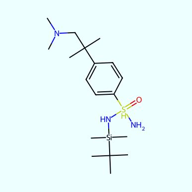 CN(C)CC(C)(C)c1ccc([SH](N)(=O)N[Si](C)(C)C(C)(C)C)cc1